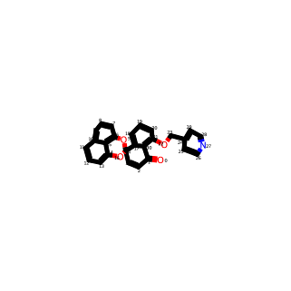 O=C1C=CC2(Oc3cccc4cccc(c34)O2)c2cccc(OCc3ccncc3)c21